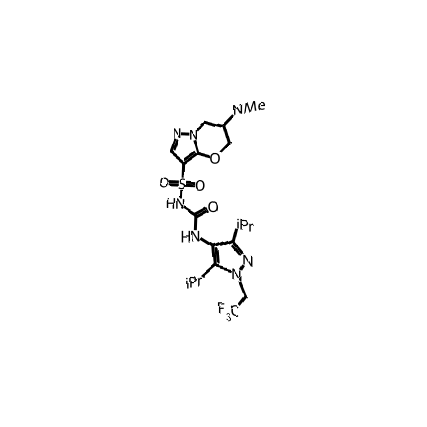 CNC1COc2c(S(=O)(=O)NC(=O)Nc3c(C(C)C)nn(CC(F)(F)F)c3C(C)C)cnn2C1